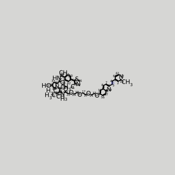 Cc1cc(/C=C/c2ccc3cc(OCCOCCOCCOCC(=O)N[C@H](C(=O)N4C[C@H](O)C[C@H]4C(=O)N[C@@H](C)c4ccc(-c5scnc5C)cc4)C(C)(C)C)ccc3n2)ccn1